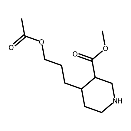 COC(=O)C1CNCCC1CCCOC(C)=O